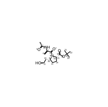 C=C(NC(C)=O)C(=O)N1[C@@H](CCO)CC[C@H]1C(=O)OC(C)(C)C